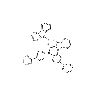 c1ccc(-c2ccc(N3c4ccc(-c5ccccc5)cc4B4c5ccccc5-c5cc(-n6c7ccccc7c7ccccc76)cc3c54)cc2)cc1